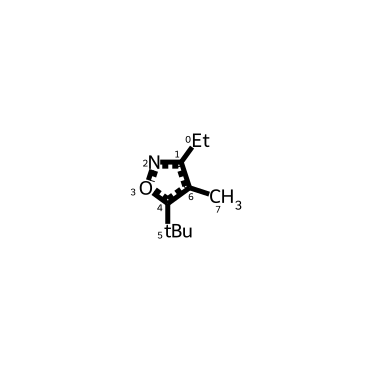 CCc1noc(C(C)(C)C)c1C